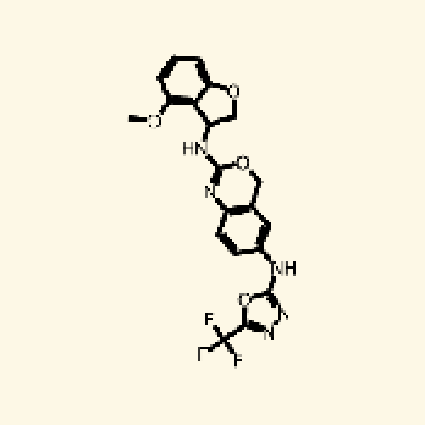 COc1cccc2c1C(NC1=Nc3ccc(Nc4nnc(C(F)(F)F)o4)cc3CO1)CO2